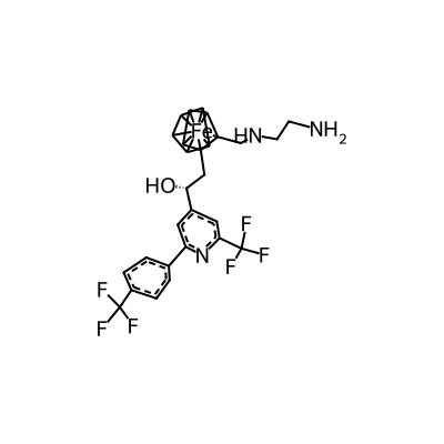 NCCNC[C]12[CH]3[CH]4[CH]5[C]1(C[C@@H](O)c1cc(-c6ccc(C(F)(F)F)cc6)nc(C(F)(F)F)c1)[Fe]43521678[CH]2[CH]1[CH]6[CH]7[CH]28